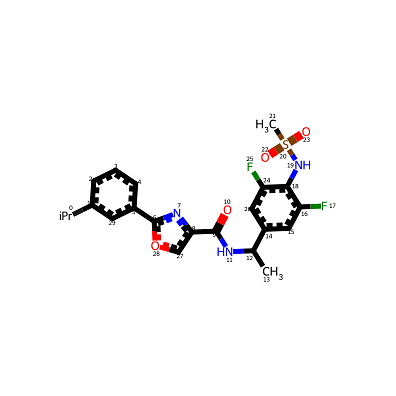 CC(C)c1cccc(-c2nc(C(=O)NC(C)c3cc(F)c(NS(C)(=O)=O)c(F)c3)co2)c1